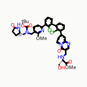 COC(=O)[C@H](CO)NCc1cnc2cc(-c3cccc(-c4cccc(-c5ccc(CN(C[C@@H]6CCC(=O)N6)C(=O)OC(C)(C)C)c(OC)n5)c4Cl)c3Cl)ccn2c1=O